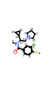 CN(C(=O)c1ccc(F)c(F)c1)C(CN1CCCC1)C1CC1